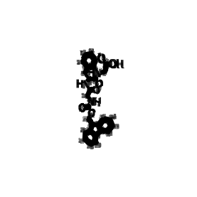 O=C(O)CNC(=O)[C@H](Cc1ccccc1)NC(=O)CNC(=O)OCC1c2ccccc2-c2ccccc21